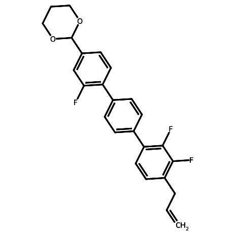 C=CCc1ccc(-c2ccc(-c3ccc(C4OCCCO4)cc3F)cc2)c(F)c1F